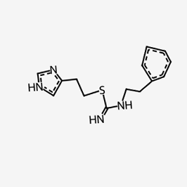 N=C(NCCc1ccccc1)SCCc1c[nH]cn1